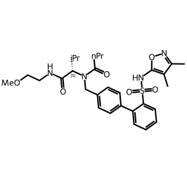 CCCC(=O)N(Cc1ccc(-c2ccccc2S(=O)(=O)Nc2onc(C)c2C)cc1)[C@H](C(=O)NCCOC)C(C)C